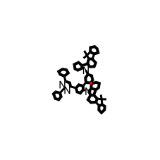 CC1(C)c2ccccc2-c2ccc3c(c21)c1ccccc1n3-c1cccc(-c2cc(-c3cc(-c4ccccc4)nc(-c4ccccc4)n3)ccc2-n2c3ccccc3c3c4c(ccc32)-c2ccccc2C4(C)C)c1